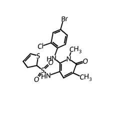 Cc1cc(NS(=O)(=O)C2CC=CS2)c(Nc2ccc(Br)cc2Cl)n(C)c1=O